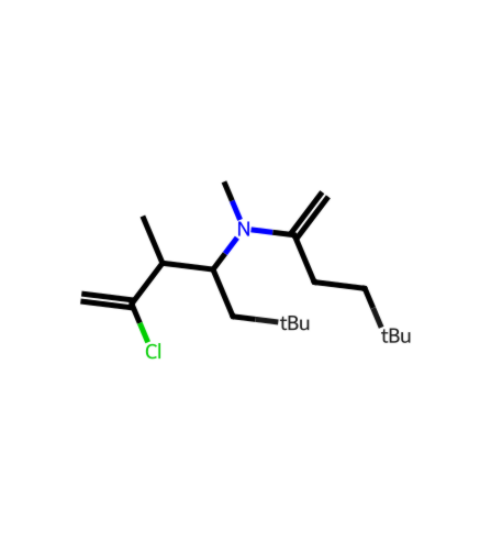 C=C(Cl)C(C)C(CC(C)(C)C)N(C)C(=C)CCC(C)(C)C